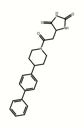 O=C1NC(=O)C(CC(=O)N2CCC(c3ccc(-c4ccccc4)cc3)CC2)N1